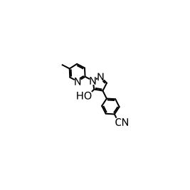 Cc1ccc(-n2ncc(-c3ccc(C#N)cc3)c2O)nc1